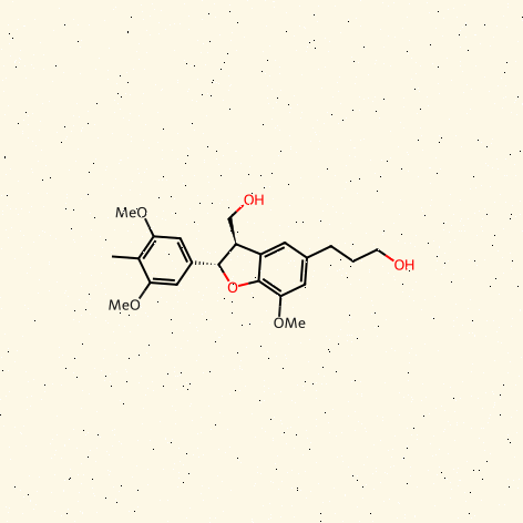 COc1cc([C@H]2Oc3c(OC)cc(CCCO)cc3[C@@H]2CO)cc(OC)c1C